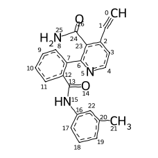 C#Cc1ccnc(-c2ccccc2C(=O)Nc2cccc(C)c2)c1C(N)=O